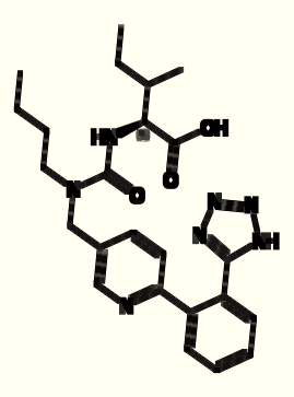 CCCCN(Cc1ccc(-c2ccccc2-c2nnn[nH]2)nc1)C(=O)N[C@H](C(=O)O)C(C)CC